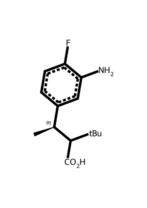 C[C@@H](c1ccc(F)c(N)c1)C(C(=O)O)C(C)(C)C